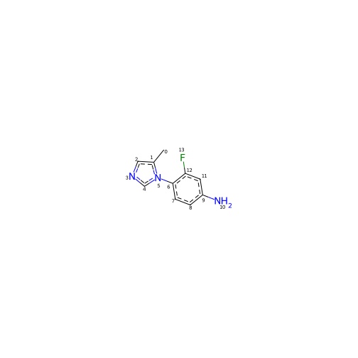 Cc1cncn1-c1ccc(N)cc1F